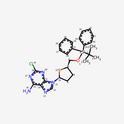 CC(C)(C)[Si](OC[C@H]1CC[C@@H](n2cnc3c(N)nc(Cl)nc32)S1)(c1ccccc1)c1ccccc1